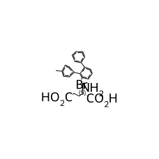 Cc1ccc(-c2c(Br)cccc2-c2ccccc2)cc1.N[C@@H](CCC(=O)O)C(=O)O